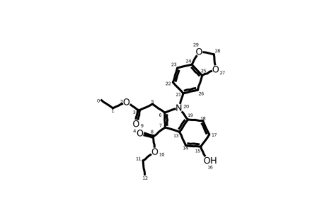 CCOC(=O)Cc1c(C(=O)OCC)c2cc(O)ccc2n1-c1ccc2c(c1)OCO2